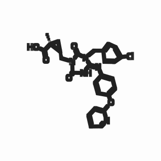 C[C@]1(C(=O)O)C[C@H]1Cn1c(=O)[nH]c(=Nc2ccc(Oc3ccccn3)cc2)n(Cc2ccc(Cl)cc2)c1=O